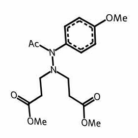 COC(=O)CCN(CCC(=O)OC)N(C(C)=O)c1ccc(OC)cc1